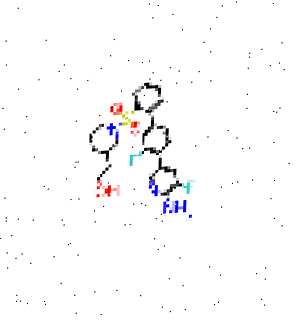 Nc1ncc(-c2ccc(-c3ccccc3S(=O)(=O)N3CCCC(CCO)C3)cc2F)cc1F